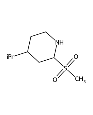 CC(C)C1CCNC(S(C)(=O)=O)C1